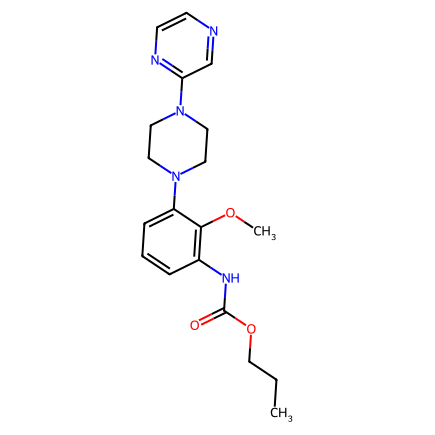 CCCOC(=O)Nc1cccc(N2CCN(c3cnccn3)CC2)c1OC